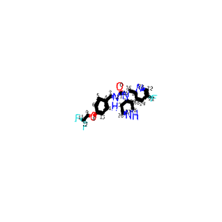 O=C(NCc1ccc(OCC(F)F)cc1)N(Cc1ccc(F)cn1)C1CCNCC1